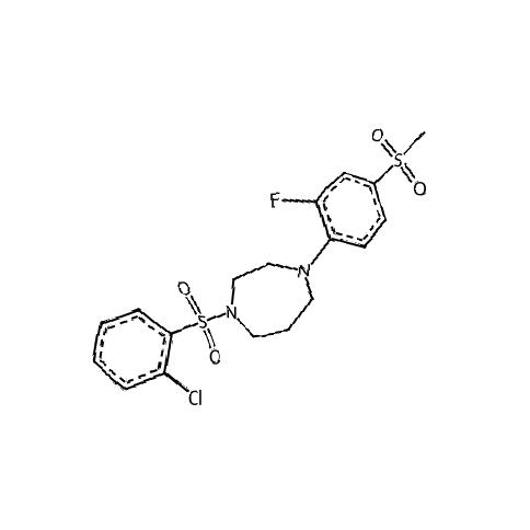 CS(=O)(=O)c1ccc(N2CCCN(S(=O)(=O)c3ccccc3Cl)CC2)c(F)c1